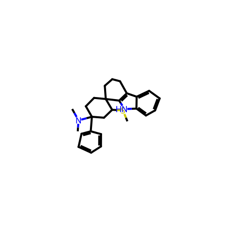 CSC1CC(c2ccccc2)(N(C)C)CCC12CCCc1c2[nH]c2ccccc12